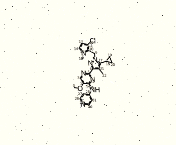 COc1cnc(-c2nn(Cc3c(Cl)ccn3C)c(C3CC3)c2C)nc1Nc1ccncc1